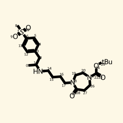 CC(Cc1ccc(S(C)(=O)=O)cc1)NCCCCN1CCN(C(=O)OC(C)(C)C)CCC1=O